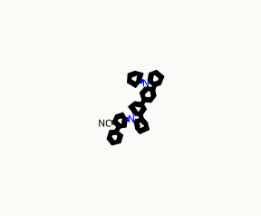 N#Cc1ccc(-n2c3ccccc3c3cc(-c4ccc5c6ccccc6n(-c6ccccc6)c5c4)ccc32)cc1-c1ccccc1